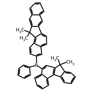 CC1(C)c2ccccc2-c2c1cc(N(c1ccccc1)c1ccc3c4c(ccc3c1)-c1cc3ccccc3cc1C4(C)C)c1ccccc21